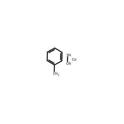 Cc1ccccc1.N#CS.[Co]